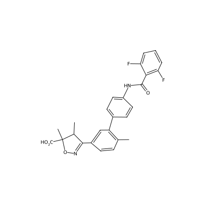 Cc1ccc(C2=NOC(C)(C(=O)O)C2C)cc1-c1ccc(NC(=O)c2c(F)cccc2F)cc1